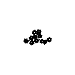 c1ccc(-c2ccc3ccc(N(c4ccc(-c5cccc6c5c5ccccc5n6-c5ccccc5)cc4)c4cccc([Si](c5ccccc5)(c5ccccc5)c5ccccc5)c4)cc3c2)cc1